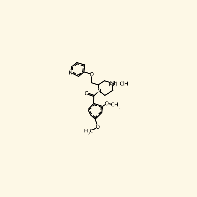 COc1ccc(C(=O)N2CCNCC2COc2cccnc2)c(OC)c1.Cl.Cl